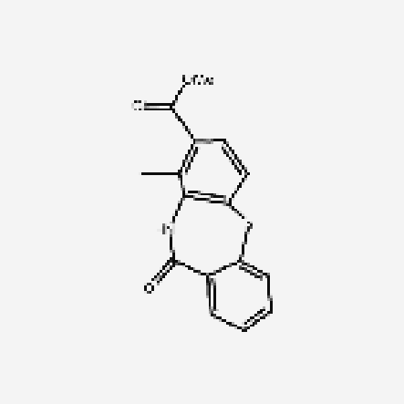 COC(=O)c1ccc2c(c1C)NC(=O)c1ccccc1S2